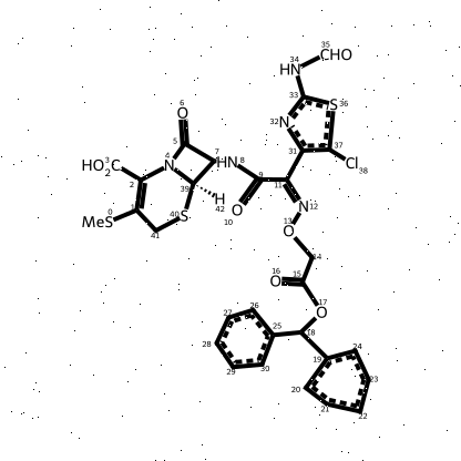 CSC1=C(C(=O)O)N2C(=O)C(NC(=O)/C(=N\OCC(=O)OC(c3ccccc3)c3ccccc3)c3nc(NC=O)sc3Cl)[C@H]2SC1